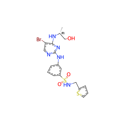 C[C@H](CO)Nc1nc(Nc2cccc(S(=O)(=O)NCc3cccs3)c2)ncc1Br